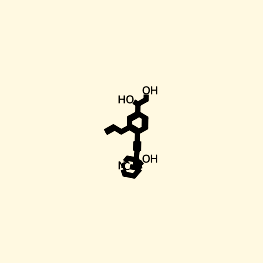 C=CCc1cc(C(O)CO)ccc1C#CC1(O)CN2CCC1CC2